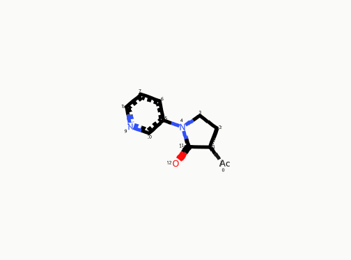 CC(=O)C1CCN(c2cccnc2)C1=O